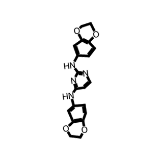 c1cc(Nc2ccc3c(c2)OCCO3)nc(Nc2ccc3c(c2)OCCO3)n1